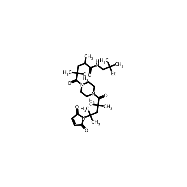 CCC(C)(C)CNC(=O)C(C)CC(C)(C)C(=O)N1CCN(C(=O)C(C)(C)CC(C)(C)N2C(=O)C=CC2=O)CC1